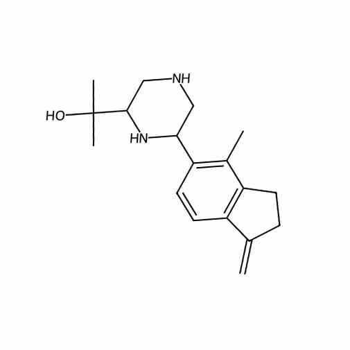 C=C1CCc2c1ccc(C1CNCC(C(C)(C)O)N1)c2C